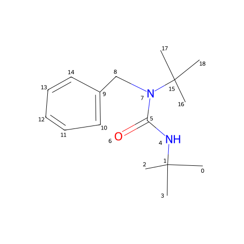 CC(C)(C)NC(=O)N(Cc1ccccc1)C(C)(C)C